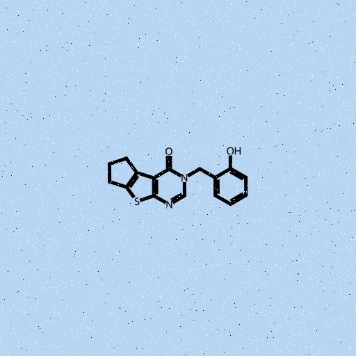 O=c1c2c3c(sc2ncn1Cc1ccccc1O)CCC3